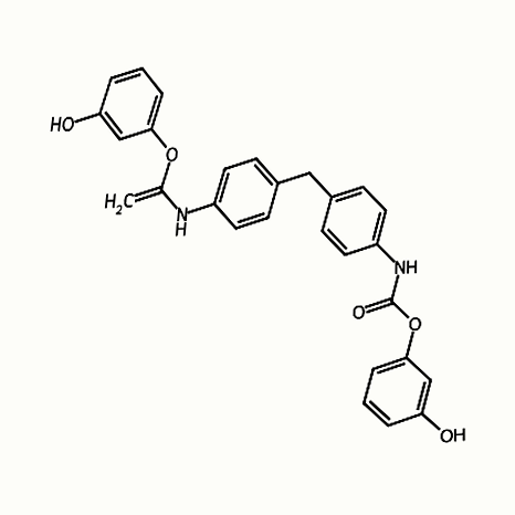 C=C(Nc1ccc(Cc2ccc(NC(=O)Oc3cccc(O)c3)cc2)cc1)Oc1cccc(O)c1